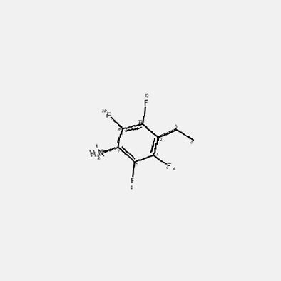 CCc1c(F)c(F)c(N)c(F)c1F